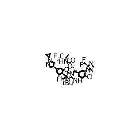 C[C@H](NC(=O)OC[C@H](c1ccc(Cl)c(-n2ncnc2C(F)F)c1)N1C(=N)N[C@](CC(C)(C)C)(c2ccc(-c3cnn(C4CC4)c3)cc2F)C1=O)C(F)(F)F